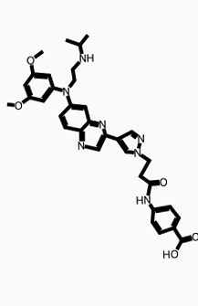 COc1cc(OC)cc(N(CCNC(C)C)c2ccc3ncc(-c4cnn(CCC(=O)Nc5ccc(C(=O)O)cc5)c4)nc3c2)c1